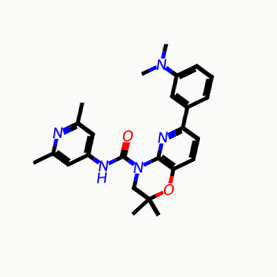 Cc1cc(NC(=O)N2CC(C)(C)Oc3ccc(-c4cccc(N(C)C)c4)nc32)cc(C)n1